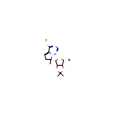 CSC1=NC=NN2C1=CCC2(C)[C@@H]1O[C@H](C=O)[C@H]2OC(C)(C)O[C@H]21